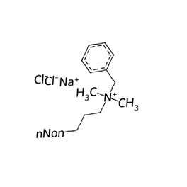 CCCCCCCCCCCC[N+](C)(C)Cc1ccccc1.[Cl-].[Cl-].[Na+]